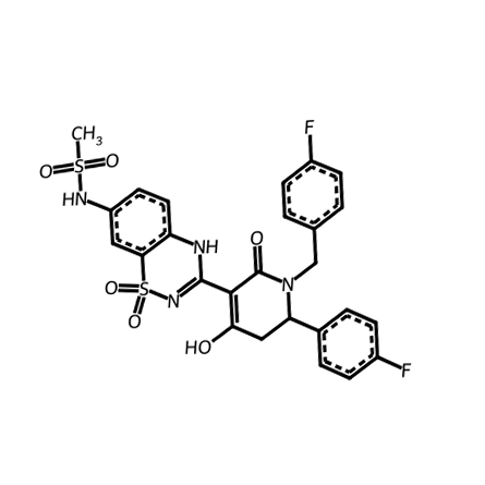 CS(=O)(=O)Nc1ccc2c(c1)S(=O)(=O)N=C(C1=C(O)CC(c3ccc(F)cc3)N(Cc3ccc(F)cc3)C1=O)N2